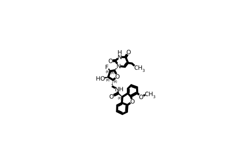 CCc1cn([C@@H]2O[C@H](CNC(=O)[C@@H]3c4ccccc4Oc4c(OC)cccc43)[C@@H](O)[C@H]2F)c(=O)[nH]c1=O